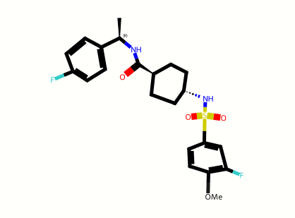 COc1ccc(S(=O)(=O)N[C@H]2CC[C@H](C(=O)N[C@H](C)c3ccc(F)cc3)CC2)cc1F